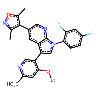 CCOc1cc(C(=O)O)ncc1-c1cn(-c2ccc(F)cc2F)c2ncc(-c3c(C)noc3C)cc12